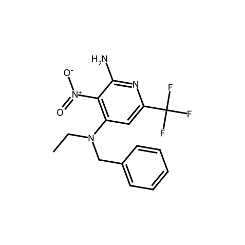 CCN(Cc1ccccc1)c1cc(C(F)(F)F)nc(N)c1[N+](=O)[O-]